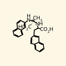 C[C@](Nc1ccc2ccccc2c1)(NC(Cc1ccc2ccccc2c1)C(=O)O)C(=O)O